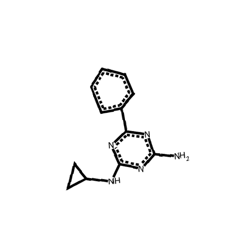 Nc1nc(NC2CC2)nc(-c2ccccc2)n1